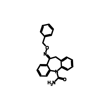 NC(=O)N1c2ccccc2CC(=NOCc2ccccc2)c2ccccc21